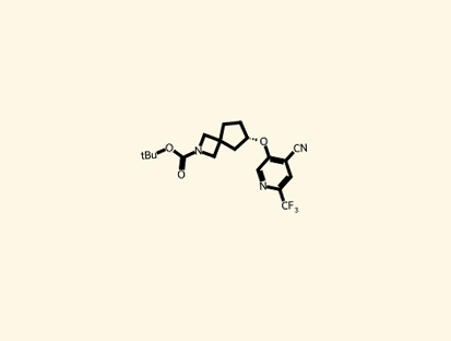 CC(C)(C)OC(=O)N1CC2(CC[C@H](Oc3cnc(C(F)(F)F)cc3C#N)C2)C1